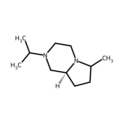 CC(C)N1CCN2C(C)CC[C@H]2C1